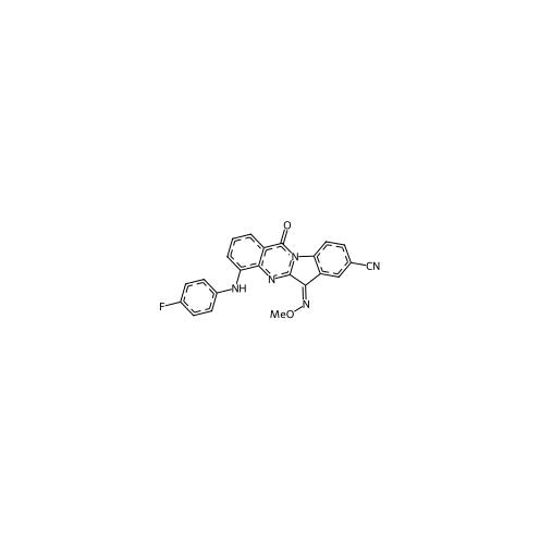 CO/N=C1/c2cc(C#N)ccc2-n2c1nc1c(Nc3ccc(F)cc3)cccc1c2=O